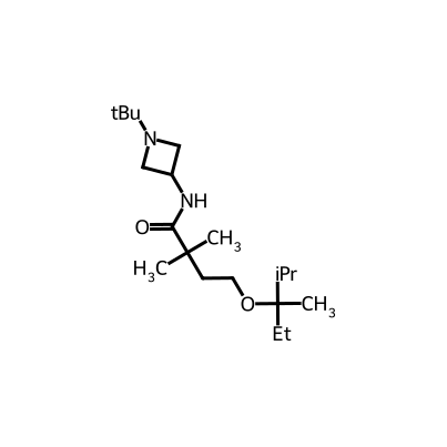 CCC(C)(OCCC(C)(C)C(=O)NC1CN(C(C)(C)C)C1)C(C)C